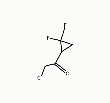 O=C(CCl)C1CC1(F)F